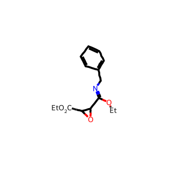 CCOC(=O)C1OC1C(=NCc1ccccc1)OCC